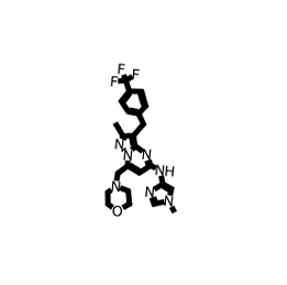 Cc1nn2c(CN3CCOCC3)cc(Nc3cn(C)cn3)nc2c1Cc1ccc(C(F)(F)F)cc1